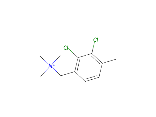 Cc1ccc(C[N+](C)(C)C)c(Cl)c1Cl